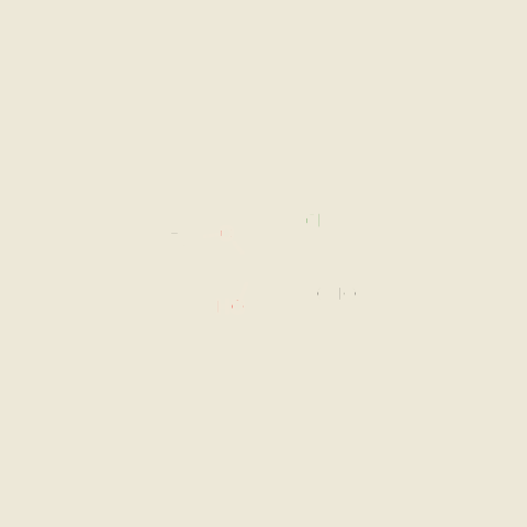 CCOC(O)=C(Cl)C=O